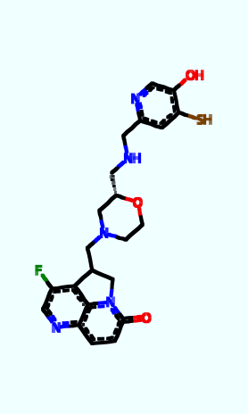 O=c1ccc2ncc(F)c3c2n1CC3CN1CCO[C@@H](CNCc2cc(S)c(O)cn2)C1